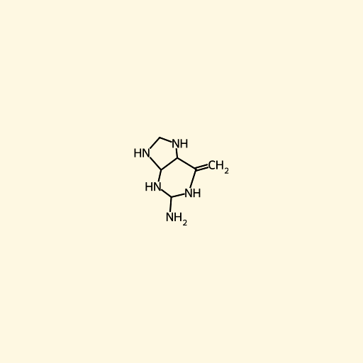 C=C1NC(N)NC2NCNC12